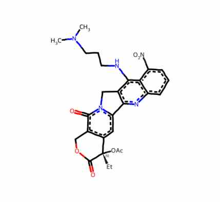 CC[C@@]1(OC(C)=O)C(=O)OCc2c1cc1n(c2=O)Cc2c-1nc1cccc([N+](=O)[O-])c1c2NCCCN(C)C